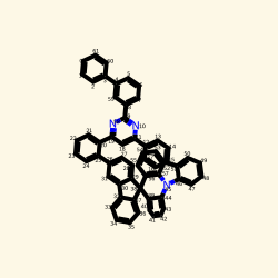 c1ccc(-c2cccc(-c3nc(-c4ccccc4)cc(-c4ccccc4-c4ccc5c(c4)-c4ccccc4C54c5ccccc5-n5c6ccccc6c6cccc4c65)n3)c2)cc1